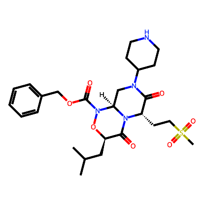 CC(C)C[C@H]1ON(C(=O)OCc2ccccc2)[C@H]2CN(C3CCNCC3)C(=O)[C@H](CCS(C)(=O)=O)N2C1=O